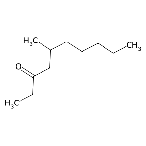 CCCCCC(C)CC(=O)CC